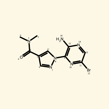 CN(C)C(=O)c1cnn(-c2nc(Br)cnc2N)c1